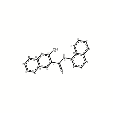 O=C(Nc1cccc2cccnc12)c1cc2ccccc2cc1O